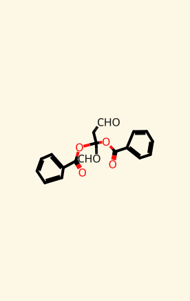 O=CCC(C=O)(OC(=O)c1ccccc1)OC(=O)c1ccccc1